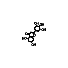 O=c1cc(C2=C[C@@H](O)C(O)[C@@H](O)C2)oc2c1[C@@H](O)C[C@@H](O)C2